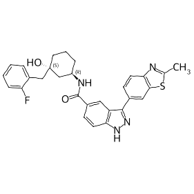 Cc1nc2ccc(-c3n[nH]c4ccc(C(=O)N[C@@H]5CCC[C@](O)(Cc6ccccc6F)C5)cc34)cc2s1